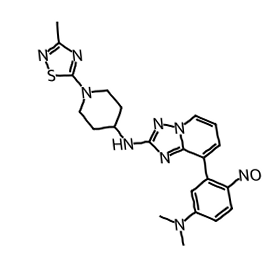 Cc1nsc(N2CCC(Nc3nc4c(-c5cc(N(C)C)ccc5N=O)cccn4n3)CC2)n1